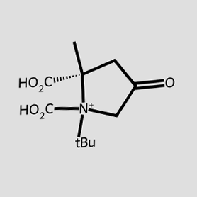 CC(C)(C)[N+]1(C(=O)O)CC(=O)C[C@@]1(C)C(=O)O